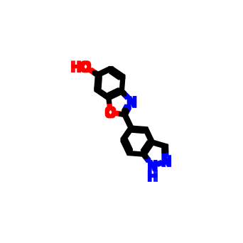 Oc1ccc2nc(-c3ccc4[nH]ncc4c3)oc2c1